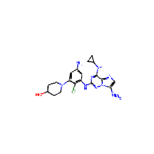 Nc1cc(Nc2nc(NC3CC3)c3ncc(N)n3n2)c(Cl)c(N2CCC(O)CC2)c1